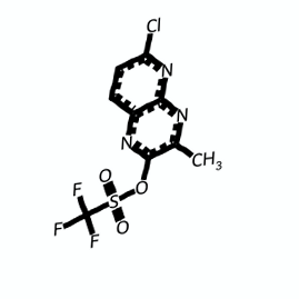 Cc1nc2nc(Cl)ccc2nc1OS(=O)(=O)C(F)(F)F